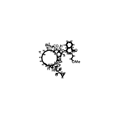 CCC(C)N(C(=O)O)[C@@H]1C(=O)N2[C@@H](C[C@@](C)(Oc3nn(CCOC)c(=O)c4ccccc34)C2(F)F)C(=O)N[C@]2(C(=O)NS(=O)(=O)C3CC3)C[C@H]2/C=C\CC[C@H](C)C[C@H]1C